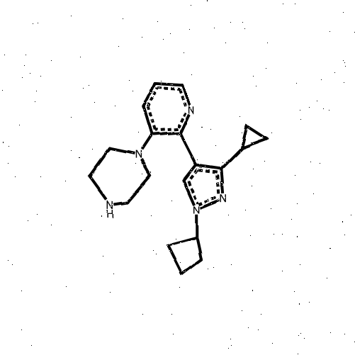 c1cnc(-c2cn(C3CCC3)nc2C2CC2)c(N2CCNCC2)c1